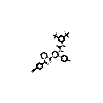 CN(C(=O)N(C)[C@@H]1CCN(C(=O)[C@H]2CCCCN2C(=O)c2ccc(C#N)cc2)C[C@H]1c1ccc(F)cc1)c1cc(C(F)(F)F)cc(C(F)(F)F)c1